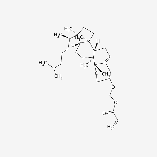 C=CC(=O)OCOC1CC[C@@]2(C)C(=CC[C@H]3[C@]4(C)CC[C@](C)([C@H](C)CCCC(C)C)[C@H]4CC[C@@]32C)C1